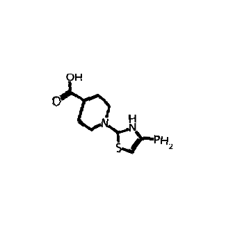 O=C(O)C1CCN(C2NC(P)=CS2)CC1